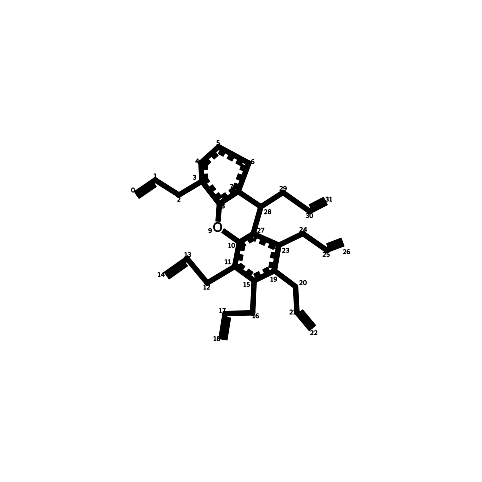 C=CCc1cccc2c1Oc1c(CC=C)c(CC=C)c(CC=C)c(CC=C)c1C2CC=C